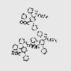 COC(=O)c1cc(-c2ccccc2)c(C(=O)[O-])c(-c2ccccc2)c1-c1ccccc1.COC(=O)c1cc(-c2ccccc2)c(C(=O)[O-])c(-c2ccccc2)c1-c1ccccc1.COC(=O)c1cc(-c2ccccc2)c(C(=O)[O-])c(-c2ccccc2)c1-c1ccccc1.[Sb+3]